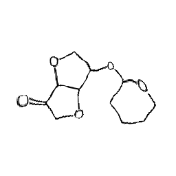 O=C1COC2C(OC3CCCCO3)COC12